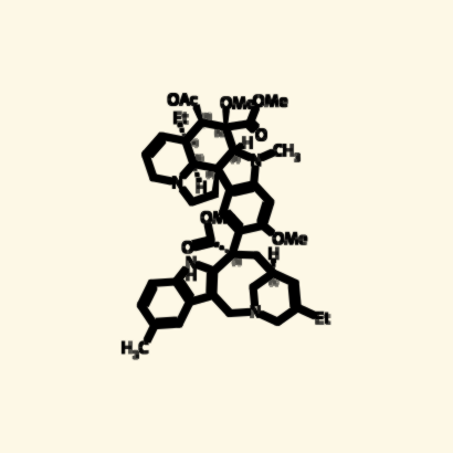 CCC1=C[C@H]2CN(C1)Cc1c([nH]c3ccc(C)cc13)[C@@](C(=O)OC)(c1cc3c(cc1OC)N(C)[C@H]1[C@@](OC)(C(=O)OC)[C@H](OC(C)=O)[C@]4(CC)C=CCN5CC[C@]31[C@@H]54)C2